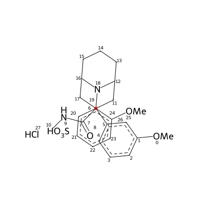 COc1cccc(C2(C(=O)NS(=O)(=O)O)CC3CCCC(C2)N3c2ccccc2OC)c1.Cl